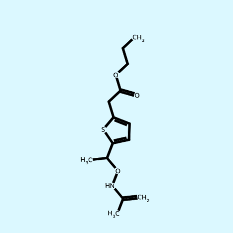 C=C(C)NOC(C)c1ccc(CC(=O)OCCC)s1